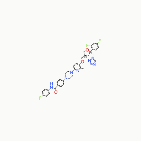 Cc1nc(N2CCN(c3ccc(C(=O)Nc4ccc(F)cc4)cc3)CC2)ccc1OC[C@H]1CO[C@@](Cn2cncn2)(c2ccc(F)cc2F)C1